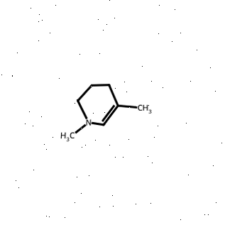 CC1=CN(C)CCC1